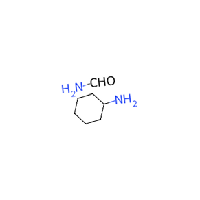 NC1CCCCC1.NC=O